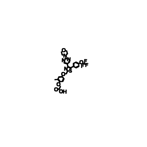 Cc1cc(OCc2nc(-c3cnc(N4CCOCC4)nc3)c(-c3ccc(OC(F)(F)F)cc3)s2)ccc1OCC(=O)O